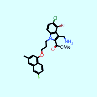 COC(=O)c1c(CN)c2c(Br)c(Cl)ccc2n1CCCOc1cc(C)cc2cc(F)ccc12